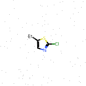 C[CH]c1cnc(Cl)s1